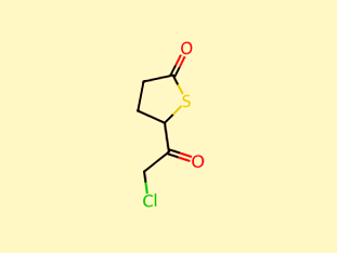 O=C1CCC(C(=O)CCl)S1